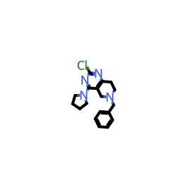 Clc1nc2c(c(N3CCCC3)n1)CN(Cc1ccccc1)CC2